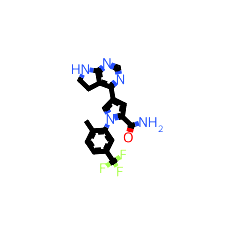 Cc1ccc(C(F)(F)F)cc1-n1cc(-c2ncnc3c2CCN3)cc1C(N)=O